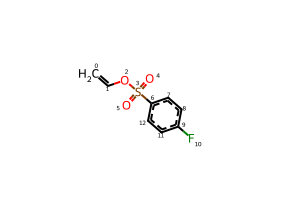 C=COS(=O)(=O)c1ccc(F)cc1